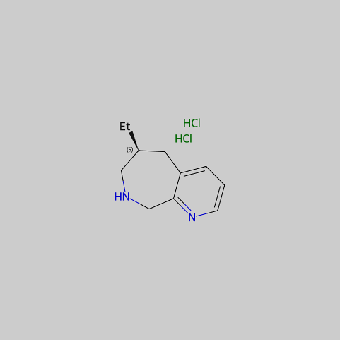 CC[C@@H]1CNCc2ncccc2C1.Cl.Cl